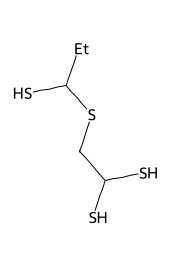 CCC(S)SCC(S)S